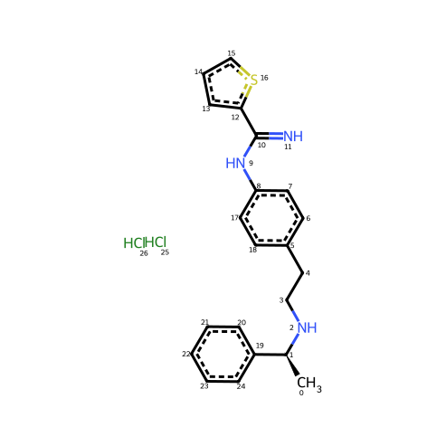 C[C@H](NCCc1ccc(NC(=N)c2cccs2)cc1)c1ccccc1.Cl.Cl